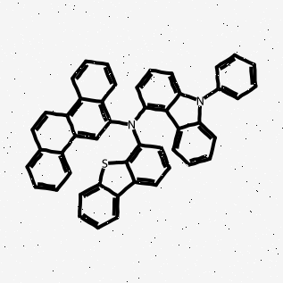 c1ccc(-n2c3ccccc3c3c(N(c4cc5c6ccccc6ccc5c5ccccc45)c4cccc5c4sc4ccccc45)cccc32)cc1